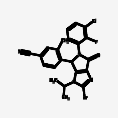 Cc1cc(C#N)ccc1C1c2c(nc(Br)n2C(C)C)C(=O)N1c1cccc(Cl)c1F